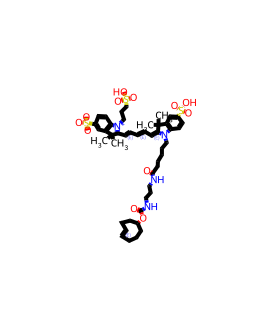 CC1(C)C(/C=C/C=C/C=C2/N(CCCCCC(=O)NCCCNC(=O)OC3CC/C=C/CCC3)c3ccc(S(=O)(=O)O)cc3C2(C)C)=[N+](CCCS(=O)(=O)O)c2ccc(S(=O)(=O)[O-])cc21